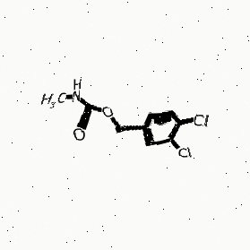 CNC(=O)OCc1ccc(Cl)c(Cl)c1